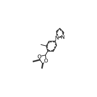 C=C1OC(c2ccc(-n3cccn3)cc2C)OC1=C